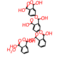 O.O=C(O)c1ccccc1C(=O)O.O=C(O)c1ccccc1C(=O)O.O=C(O)c1ccccc1C(=O)O.O=C(O)c1ccccc1C(=O)O